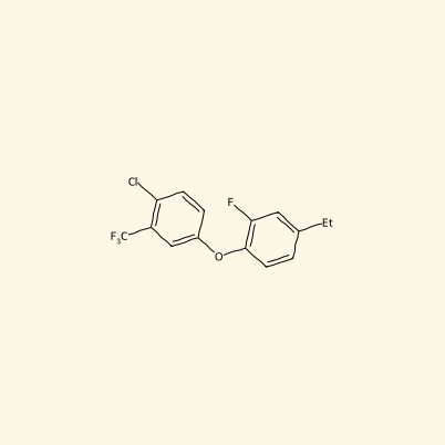 CCc1ccc(Oc2ccc(Cl)c(C(F)(F)F)c2)c(F)c1